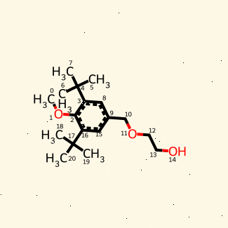 COc1c(C(C)(C)C)cc(COCCO)cc1C(C)(C)C